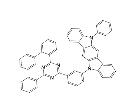 c1ccc(-c2nc(-c3cccc(-n4c5ccccc5c5cc6c(cc54)c4ccccc4n6-c4ccccc4)c3)nc(-c3ccccc3-c3ccccc3)n2)cc1